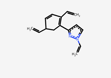 C=CC1=C(c2ccn(C=C)n2)CC(C=C)C=C1